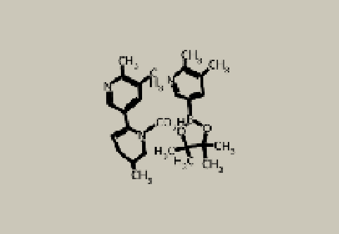 Cc1cc(B2OC(C)(C)C(C)(C)O2)cnc1C.Cc1cc(C2=CCC(C)CN2C(=O)O)cnc1C